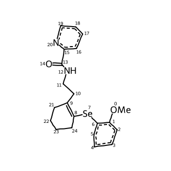 COc1ccccc1[Se]C1=C(CCNC(=O)c2ccccn2)CCCC1